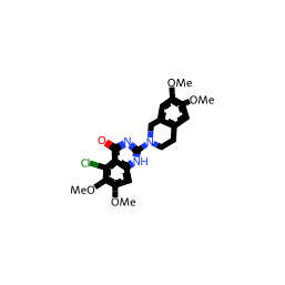 COc1cc2c(cc1OC)CN(c1nc(=O)c3c(Cl)c(OC)c(OC)cc3[nH]1)CC2